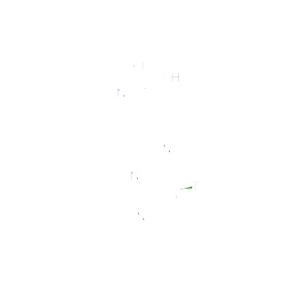 CC1(C)CC(NC2N=C(Cl)N=C[C@@H]2F)CC2CCCN21